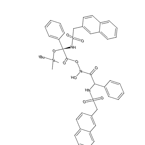 CC(C)(C)[Si](C)(C)O[C@@](NS(=O)(=O)Cc1ccc2ccccc2c1)(C(=O)ON(O)C(=O)C(NS(=O)(=O)Cc1ccc2ccccc2c1)c1ccccc1)c1ccccc1